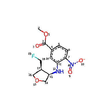 COC(=O)c1ccc([N+](=O)[O-])c(N[C@H]2COC[C@H]2CF)c1